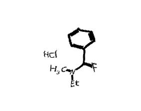 CCN(C)C(F)c1ccccc1.Cl